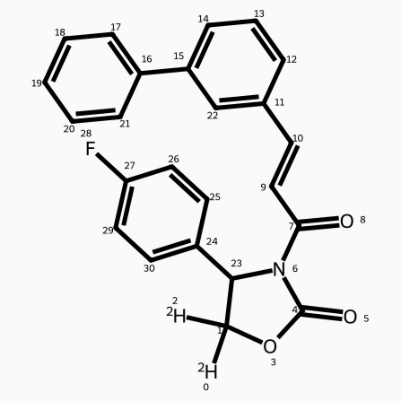 [2H]C1([2H])OC(=O)N(C(=O)C=Cc2cccc(-c3ccccc3)c2)C1c1ccc(F)cc1